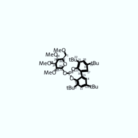 COC[C@H]1O[C@@H](Op2oc3c(C(C)(C)C)cc(C(C)(C)C)cc3c3cc(C(C)(C)C)cc(C(C)(C)C)c3o2)[C@H](OC)[C@@H](OC)[C@@H]1OC